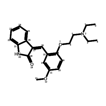 CCN(CC)CCOc1ccc(OC)cc1C=C1C(=O)Nc2ccccc21